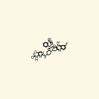 CN(c1ncc2c(n1)NC(=O)CO2)[C@H]1CC[C@H](C(Cc2nc3ccc(F)cc3[nH]c2=O)NS(=O)(=O)c2ccccc2[N+](=O)[O-])CC1